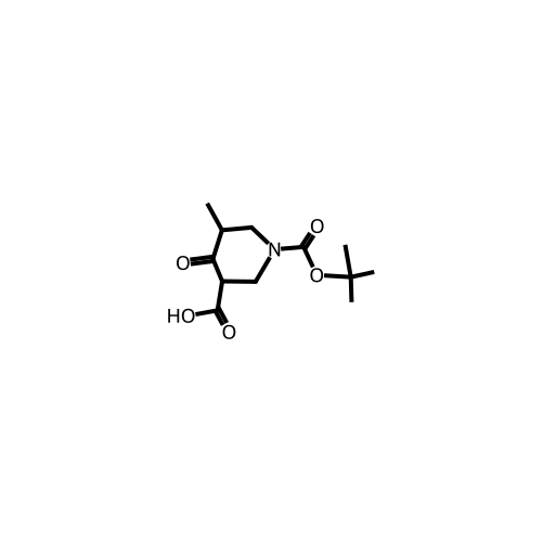 CC1CN(C(=O)OC(C)(C)C)CC(C(=O)O)C1=O